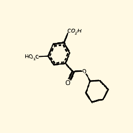 O=C(O)c1cc(C(=O)O)cc(C(=O)OC2CCCCC2)c1